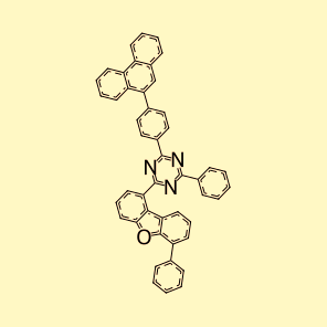 c1ccc(-c2nc(-c3ccc(-c4cc5ccccc5c5ccccc45)cc3)nc(-c3cccc4oc5c(-c6ccccc6)cccc5c34)n2)cc1